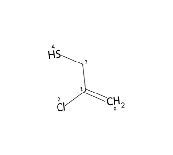 C=C(Cl)CS